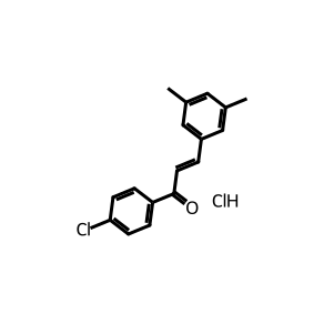 Cc1cc(C)cc(/C=C/C(=O)c2ccc(Cl)cc2)c1.Cl